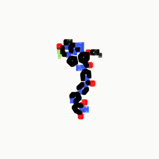 COc1cc(C(=O)NC2CCN(C(=O)N3CCN(c4ccnc(C5CCC(=O)NC5=O)c4)CC3)CC2)ccc1Nc1ncc2c(n1)N(C1CCCC1)CC(F)(F)C(=O)N2C